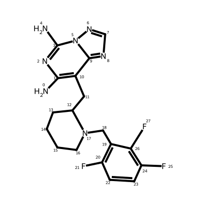 Nc1nc(N)n2ncnc2c1CC1CCCCN1Cc1c(F)ccc(F)c1F